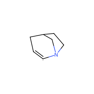 [C]1=CCC2CCN1C2